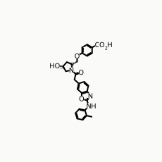 Cc1ccccc1Nc1nc2ccc(CC(=O)N3C[C@@H](O)C[C@H]3COc3ccc(C(=O)O)cc3)cc2o1